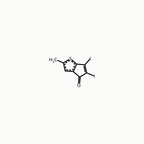 Cc1cc2c(s1)C(I)=C(I)C2=O